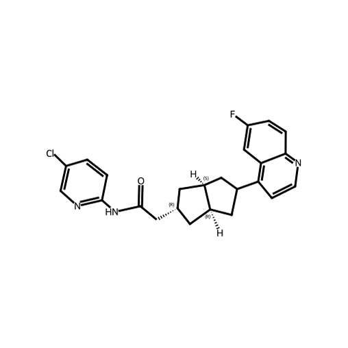 O=C(C[C@@H]1C[C@H]2CC(c3ccnc4ccc(F)cc34)C[C@H]2C1)Nc1ccc(Cl)cn1